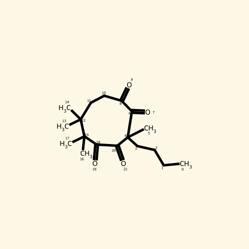 CCCCC1(C)C(=O)C(=O)CCC(C)(C)C(C)(C)C(=O)C1=O